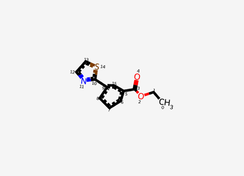 CCOC(=O)c1cccc(-c2nccs2)c1